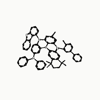 Cc1cc2c3c(c1)N(c1cccc4oc5ccccc5c14)c1ccc(N(c4ccccc4)c4ccccc4)cc1B3c1cc3c(cc1N2c1cc(-c2ccccc2)ccc1C)C(C)(C)CCC3(C)C